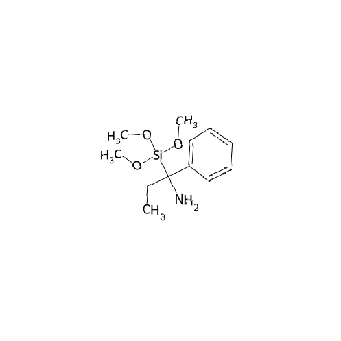 CCC(N)(c1ccccc1)[Si](OC)(OC)OC